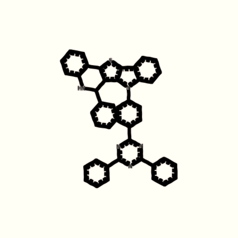 c1ccc(-c2nc(-c3ccccc3)nc(-c3ccc(-n4c5ccccc5c5sc6c(c54)C(c4ccccc4)Nc4ccccc4-6)cc3)n2)cc1